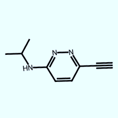 C#Cc1ccc(NC(C)C)nn1